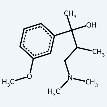 COc1cccc(C(C)(O)C(C)CN(C)C)c1